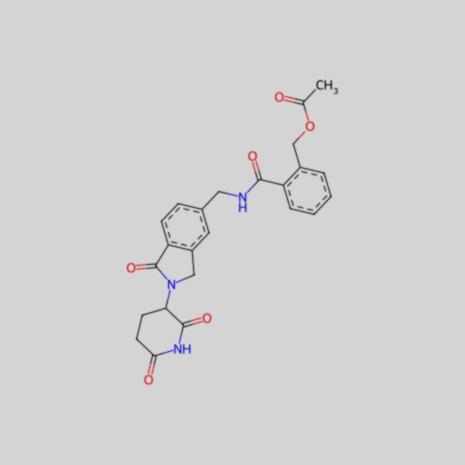 CC(=O)OCc1ccccc1C(=O)NCc1ccc2c(c1)CN(C1CCC(=O)NC1=O)C2=O